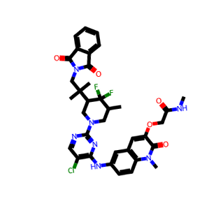 CNC(=O)COc1cc2cc(Nc3nc(N4CC(C)C(F)(F)C(C(C)(C)CN5C(=O)c6ccccc6C5=O)C4)ncc3Cl)ccc2n(C)c1=O